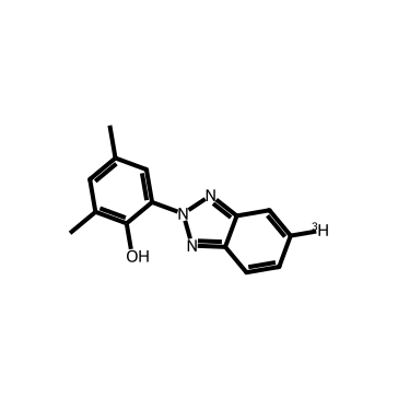 [3H]c1ccc2nn(-c3cc(C)cc(C)c3O)nc2c1